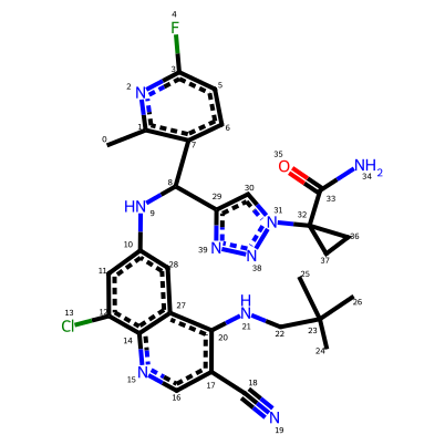 Cc1nc(F)ccc1C(Nc1cc(Cl)c2ncc(C#N)c(NCC(C)(C)C)c2c1)c1cn(C2(C(N)=O)CC2)nn1